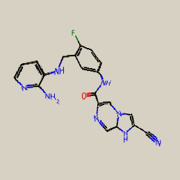 N#CC1=CN2C=C(C(=O)Nc3ccc(F)c(CNc4cccnc4N)c3)N=CC2N1